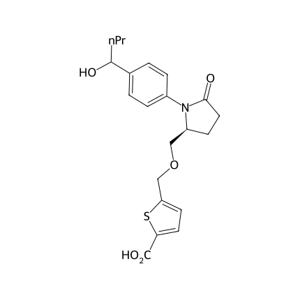 CCCC(O)c1ccc(N2C(=O)CC[C@H]2COCc2ccc(C(=O)O)s2)cc1